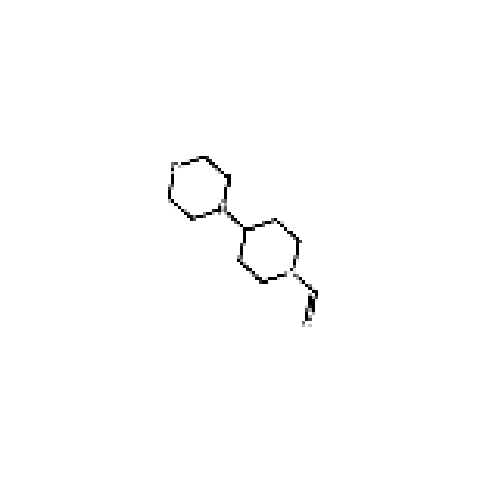 O=CN1CCC(N2CCOCC2)CC1